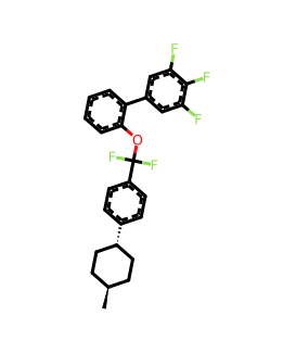 C[C@H]1CC[C@H](c2ccc(C(F)(F)Oc3ccccc3-c3cc(F)c(F)c(F)c3)cc2)CC1